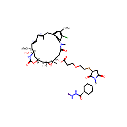 COc1cc2cc(c1Cl)N(C)C(=O)C[C@H](OC(=O)CCOCCSC1CC(=O)N(C[C@H]3CC[C@H](C(=O)NNI)CC3)C1=O)[C@]1(C)O[C@H]1[C@H](C)[C@@H]1C[C@@](O)(NC(=O)O1)[C@H](OC)/C=C/C=C(\C)C2